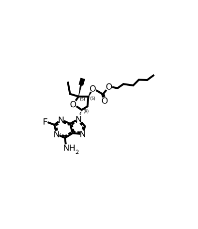 C#C[C@]1(CC)O[C@@H](n2cnc3c(N)nc(F)nc32)C[C@@H]1OC(=O)OCCCCCC